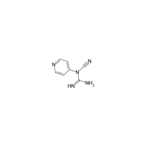 N#CN(C(=N)N)c1ccncc1